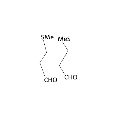 CSCCC=O.CSCCC=O